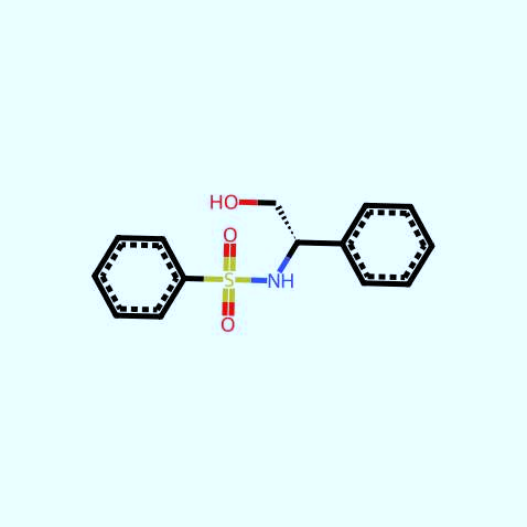 O=S(=O)(N[C@H](CO)c1ccccc1)c1ccccc1